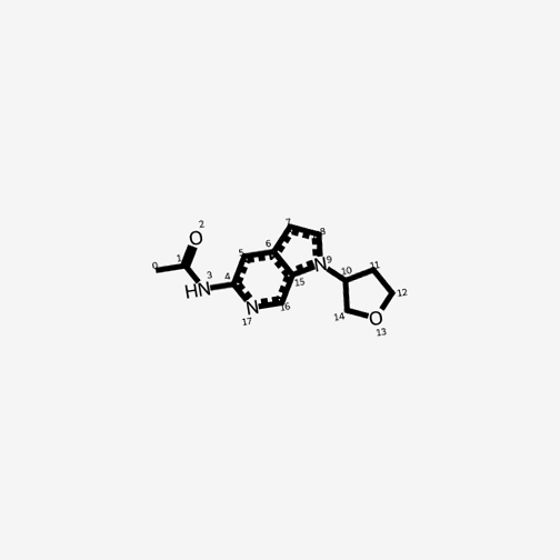 CC(=O)Nc1cc2ccn(C3CCOC3)c2cn1